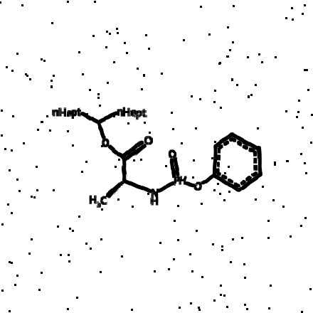 CCCCCCCC(CCCCCCC)OC(=O)[C@H](C)N[PH](=O)Oc1ccccc1